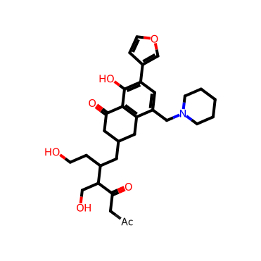 CC(=O)CC(=O)C(CO)C(CCO)CC1CC(=O)c2c(O)c(-c3ccoc3)cc(CN3CCCCC3)c2C1